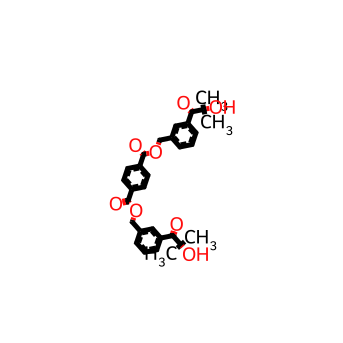 CC(C)(O)C(=O)c1cccc(COC(=O)c2ccc(C(=O)OCc3cccc(C(=O)C(C)(C)O)c3)cc2)c1